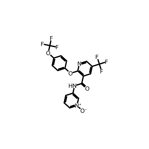 O=C(Nc1ccc[n+]([O-])c1)c1cc(C(F)(F)F)cnc1Oc1ccc(OC(F)(F)F)cc1